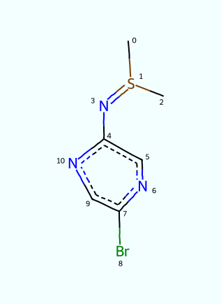 CS(C)=Nc1cnc(Br)cn1